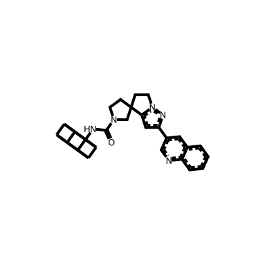 O=C(NC12C3C4C5C3C1C5C42)N1CCC2(CCn3nc(-c4cnc5ccccc5c4)cc32)C1